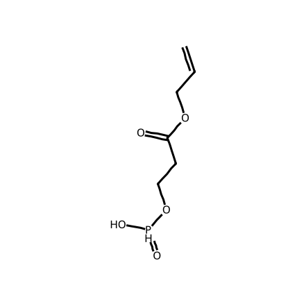 C=CCOC(=O)CCO[PH](=O)O